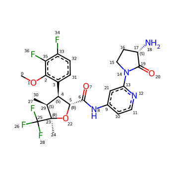 COc1c([C@H]2[C@H](C(=O)Nc3ccnc(N4CC[C@H](N)C4=O)c3)O[C@@](C)(C(F)(F)F)[C@H]2C)ccc(F)c1F